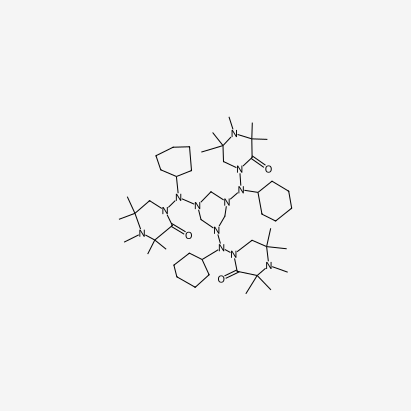 CN1C(C)(C)CN(N(C2CCCCC2)N2CN(N(C3CCCCC3)N3CC(C)(C)N(C)C(C)(C)C3=O)CN(N(C3CCCCC3)N3CC(C)(C)N(C)C(C)(C)C3=O)C2)C(=O)C1(C)C